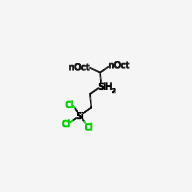 CCCCCCCCC(CCCCCCCC)[SiH2]CC[Si](Cl)(Cl)Cl